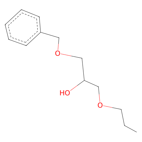 CCCOCC(O)COCc1ccccc1